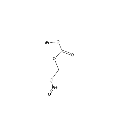 CC(C)OC(=O)OCO[PH]=O